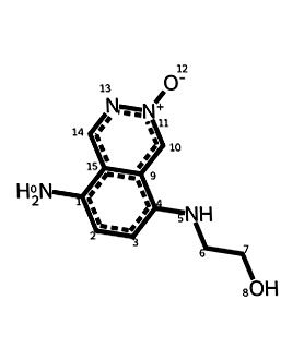 Nc1ccc(NCCO)c2c[n+]([O-])ncc12